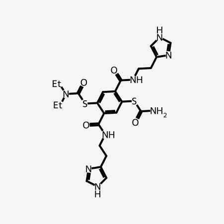 CCN(CC)C(=O)Sc1cc(C(=O)NCCc2c[nH]cn2)c(SC(N)=O)cc1C(=O)NCCc1c[nH]cn1